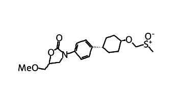 COCC1CN(c2ccc([C@H]3CC[C@H](OC[S+](C)[O-])CC3)cc2)C(=O)O1